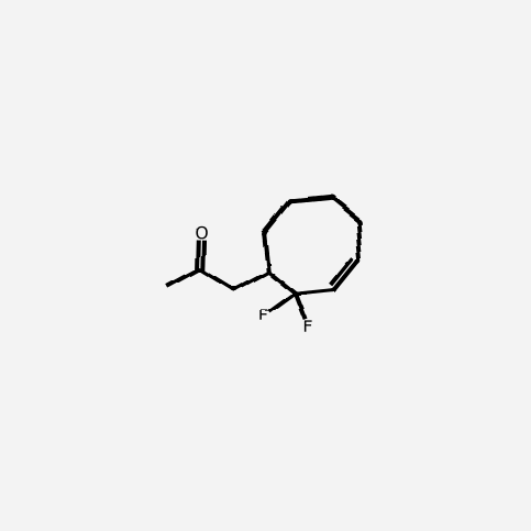 CC(=O)CC1CCCC/C=C\C1(F)F